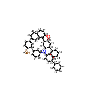 Sc1ccccc1-c1cccc(N(c2ccc(-c3ccccc3)cc2)c2cc3c(cc2-c2ccccc2)oc2ccc4ccccc4c23)c1